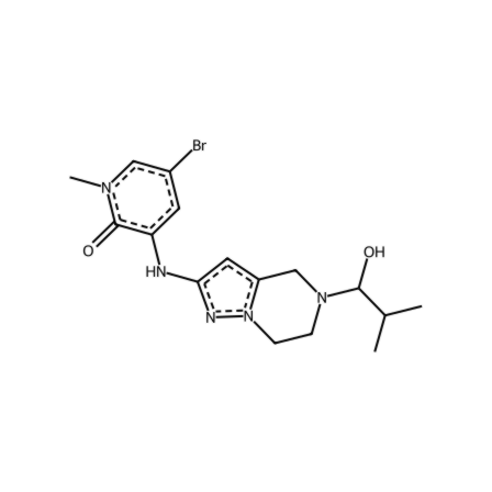 CC(C)C(O)N1CCn2nc(Nc3cc(Br)cn(C)c3=O)cc2C1